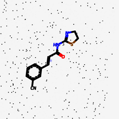 N#Cc1cccc(/C=C/C(=O)NC2=NCCS2)c1